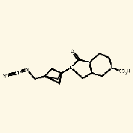 [N-]=[N+]=NCC12CC(N3CC4CN(C(=O)O)CCN4C3=O)(C1)C2